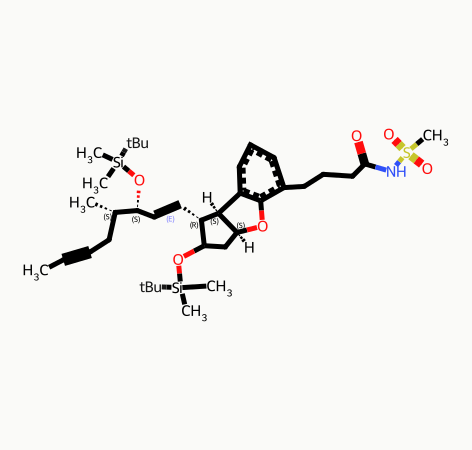 CC#CC[C@H](C)[C@@H](/C=C/[C@H]1C(O[Si](C)(C)C(C)(C)C)C[C@@H]2Oc3c(CCCC(=O)NS(C)(=O)=O)cccc3[C@@H]21)O[Si](C)(C)C(C)(C)C